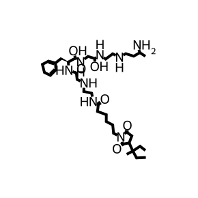 CCC(C)(CC)C1CC(=O)N(CCCCCC(=O)NCCNCC(=O)N[C@@H](CC2=CCCC=C2)C(O)NCC(O)NCCNCCC(C)N)C1=O